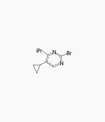 CC(C)c1nc(Br)ncc1C1CC1